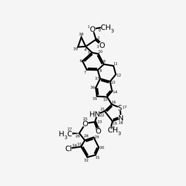 COC(=O)C1(c2ccc3c(c2)CCc2cc(-c4snc(C)c4NC(=O)O[C@H](C)c4ccccc4Cl)ccc2-3)CC1